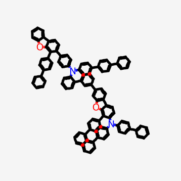 c1ccc(-c2ccc(-c3ccc(N(c4ccc(-c5ccc6c(oc7ccccc76)c5-c5ccc(-c6ccccc6)cc5)cc4)c4ccccc4-c4cccc(-c5ccc6c(c5)oc5c(-c7ccc(-c8ccccc8)cc7)c(N(c7ccc(-c8ccccc8)cc7)c7ccc(-c8ccccc8)cc7)ccc56)c4)cc3)cc2)cc1